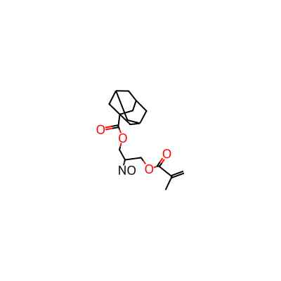 C=C(C)C(=O)OCC(COC(=O)C12CC3CC(CC(C3)C1)C2)N=O